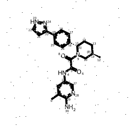 Cc1cc(NC(=O)C(=O)N2C[C@H](C)CC[C@H]2c2ccc(-c3cc[nH]n3)cc2)cnc1N